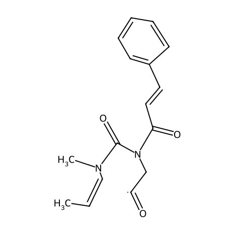 C/C=C\N(C)C(=O)N(C[C]=O)C(=O)/C=C/c1ccccc1